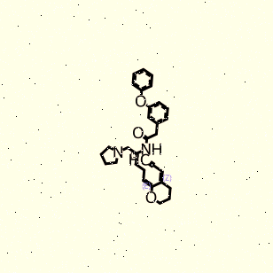 C#C/C=C1/CCCO/C1=C/CC[C@@H](CN1CCCC1)NC(=O)Cc1cccc(Oc2ccccc2)c1